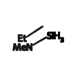 CCC.CN[SiH3]